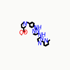 COC(=O)C1CCCN(Cc2ccc(Nc3nccc(Nc4ccnc(-c5cccc(C)n5)n4)n3)cc2)C1